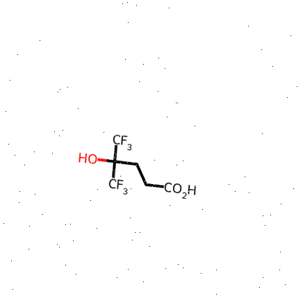 O=C(O)CCC(O)(C(F)(F)F)C(F)(F)F